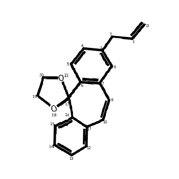 C=CCc1ccc2c(c1)C=Cc1ccccc1C21OCCO1